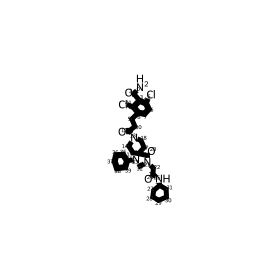 NC(=O)c1c(Cl)ccc(C[CH]C(=O)N2CCC3(CC2)C(=O)N(CC(=O)NC2CCCCC2)CN3c2ccccc2)c1Cl